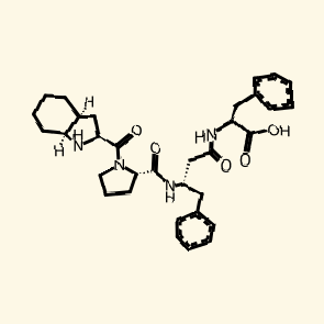 O=C(C[C@H](Cc1ccccc1)NC(=O)[C@@H]1CCCN1C(=O)[C@@H]1C[C@@H]2CCCC[C@@H]2N1)N[C@@H](Cc1ccccc1)C(=O)O